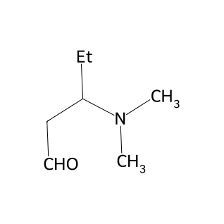 CCC(CC=O)N(C)C